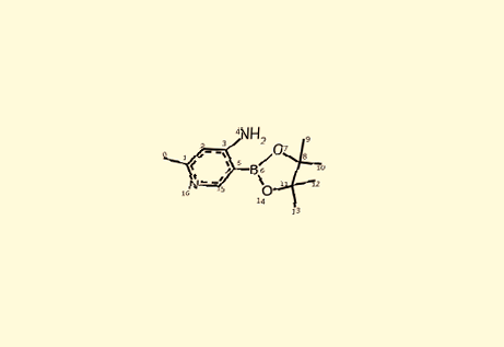 Cc1cc(N)c(B2OC(C)(C)C(C)(C)O2)cn1